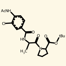 CC(=O)Nc1ccc(C(=O)NC(C)C(=O)N2CCCC2C(=O)OC(C)(C)C)cc1Cl